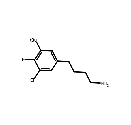 CC(C)(C)c1cc(CCCCN)cc(Cl)c1F